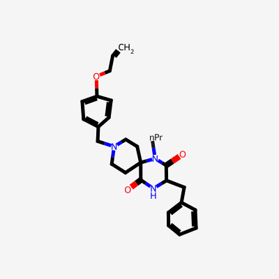 C=CCOc1ccc(CN2CCC3(CC2)C(=O)NC(Cc2ccccc2)C(=O)N3CCC)cc1